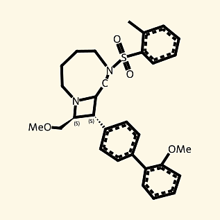 COC[C@@H]1[C@@H](c2ccc(-c3ccccc3OC)cc2)C2CN(S(=O)(=O)c3ccccc3C)CCCCN21